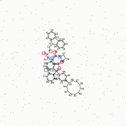 CN(C(=O)OCC1c2ccccc2-c2ccccc21)[C@@H](CC(=O)OC(c1ccccc1)(c1ccc(C2CCCCCCCCC2)cc1)c1ccccc1Cl)C(=O)N1CCC1